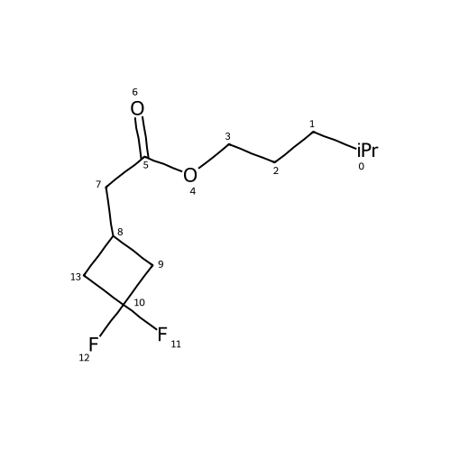 CC(C)CCCOC(=O)CC1CC(F)(F)C1